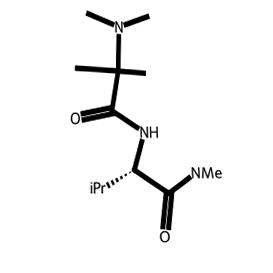 CNC(=O)[C@@H](NC(=O)C(C)(C)N(C)C)C(C)C